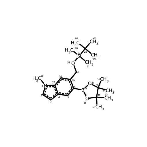 Cn1ccc2cc(B3OC(C)(C)C(C)(C)O3)c(CO[Si](C)(C)C(C)(C)C)cc21